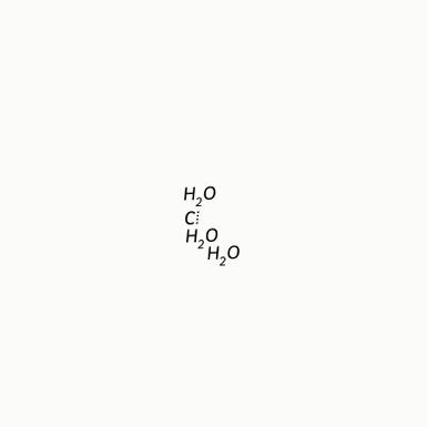 O.O.O.[C]